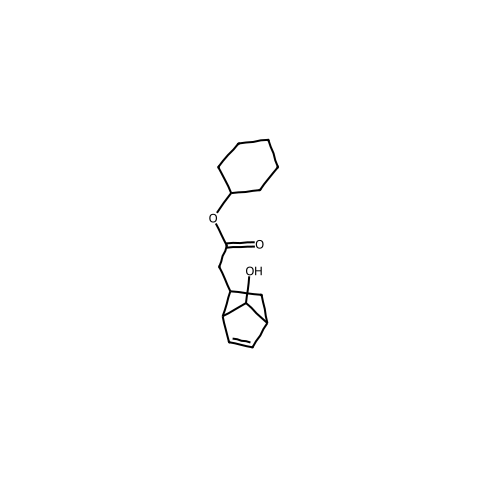 O=C(CC1CC2C=CC1C2O)OC1CCCCC1